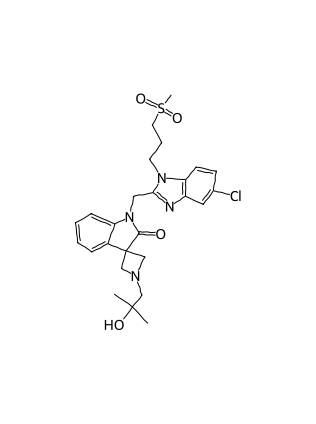 CC(C)(O)CN1CC2(C1)C(=O)N(Cc1nc3cc(Cl)ccc3n1CCCS(C)(=O)=O)c1ccccc12